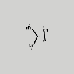 CC#N.CCCCC#N